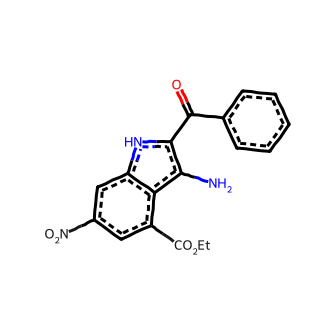 CCOC(=O)c1cc([N+](=O)[O-])cc2[nH]c(C(=O)c3ccccc3)c(N)c12